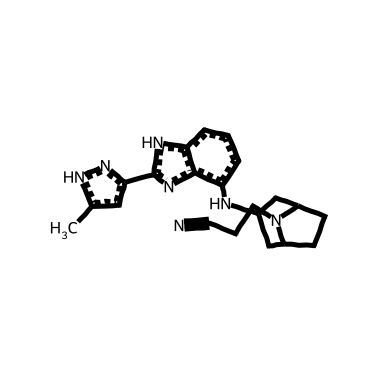 Cc1cc(-c2nc3c(NC4CC5CCC(C4)N5CCC#N)cccc3[nH]2)n[nH]1